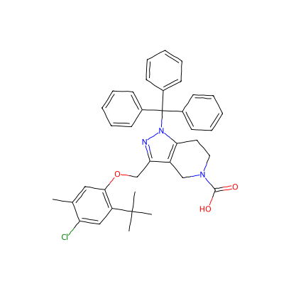 Cc1cc(OCc2nn(C(c3ccccc3)(c3ccccc3)c3ccccc3)c3c2CN(C(=O)O)CC3)c(C(C)(C)C)cc1Cl